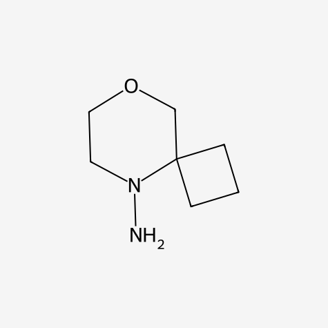 NN1CCOCC12CCC2